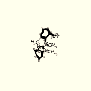 CC(C)c1ccccc1N(C)c1n(C)c2ccccc2[n+]1C